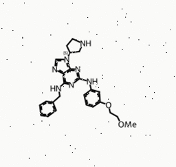 COCCOc1cccc(Nc2nc(NCc3ccccc3)c3ncn([C@H]4CCNC4)c3n2)c1